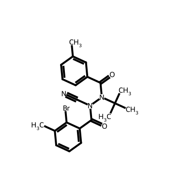 Cc1cccc(C(=O)N(N(C#N)C(=O)c2cccc(C)c2Br)C(C)(C)C)c1